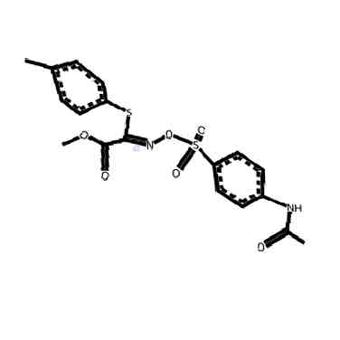 COC(=O)/C(=N/OS(=O)(=O)c1ccc(NC(C)=O)cc1)Sc1ccc(C)cc1